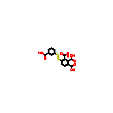 O=C(O)c1cccc(SSc2ccc(C(=O)O)c(C(=O)O)c2C(=O)O)c1